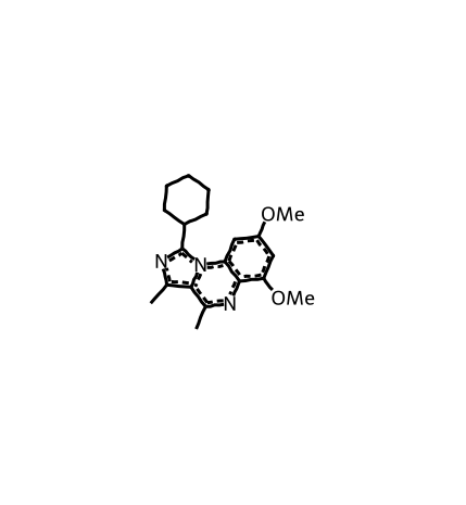 COc1cc(OC)c2nc(C)c3c(C)nc(C4CCCCC4)n3c2c1